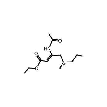 CCC[C@@H](C)CC(=CC(=O)OCC)NC(C)=O